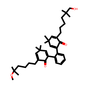 COC(C)(C)CCCCC1=CC(C)(C)C=C(c2ccccc2C2=CC(C)(C)C=C(CCCCC(C)(C)CO)C2=O)C1=O